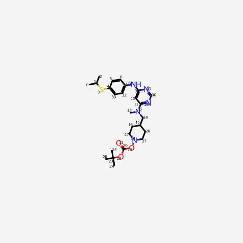 CC(C)Sc1ccc(Nc2cc(N(C)CC3CCN(OC(=O)OC(C)(C)C)CC3)ncn2)cc1